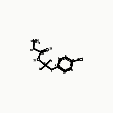 CC(C)(Cc1ccc(Cl)cc1)OC(=O)CN